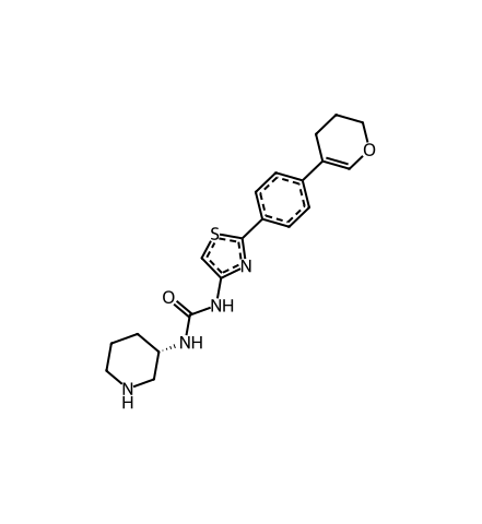 O=C(Nc1csc(-c2ccc(C3=COCCC3)cc2)n1)N[C@H]1CCCNC1